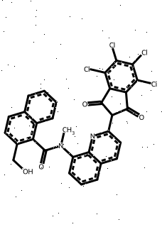 CN(C(=O)c1c(CO)ccc2ccccc12)c1cccc2ccc(C3C(=O)c4c(Cl)c(Cl)c(Cl)c(Cl)c4C3=O)nc12